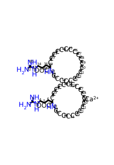 N=C(N)NCCC[C@]1(C(=O)[O-])CCCCCCCCCCCCCCCCCCCCN1.N=C(N)NCCC[C@]1(C(=O)[O-])CCCCCCCCCCCCCCCCCCCCN1.[Ca+2]